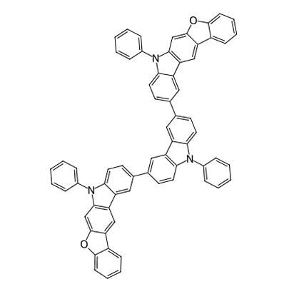 c1ccc(-n2c3ccc(-c4ccc5c(c4)c4cc6c(cc4n5-c4ccccc4)oc4ccccc46)cc3c3cc(-c4ccc5c(c4)c4cc6c(cc4n5-c4ccccc4)oc4ccccc46)ccc32)cc1